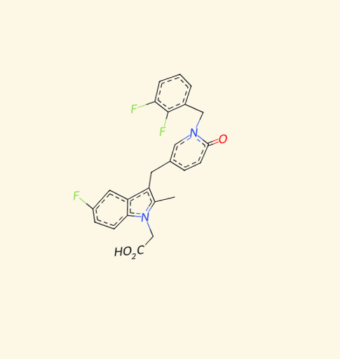 Cc1c(Cc2ccc(=O)n(Cc3cccc(F)c3F)c2)c2cc(F)ccc2n1CC(=O)O